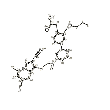 CCCOc1cc(-c2cc(NCCc3c(C#N)sc4c(C)cc(F)cc34)ncn2)ccc1CC(=O)O